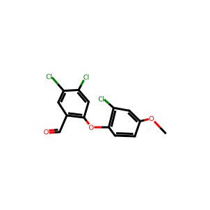 COc1ccc(Oc2cc(Cl)c(Cl)cc2C=O)c(Cl)c1